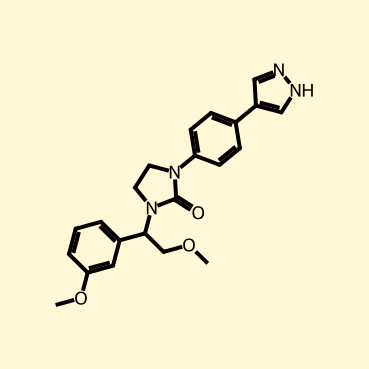 COCC(c1cccc(OC)c1)N1CCN(c2ccc(-c3cn[nH]c3)cc2)C1=O